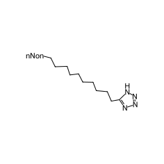 [CH2]CCCCCCCCCCCCCCCCCCc1nnn[nH]1